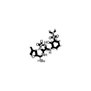 Cc1coc([C@H](NC2=NS(=O)(=O)N=C2Nc2cccc(S(=O)(=O)N(C)C)c2O)C(C)(C)C)c1